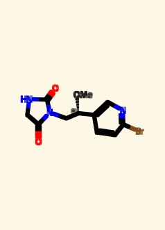 CO[C@@H](CN1C(=O)CNC1=O)c1ccc(Br)nc1